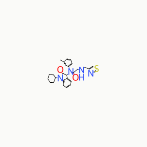 Cc1cccc(N(C(=O)CNCc2cscn2)C2C(=O)N(C3CCCCC3)c3ccccc32)c1